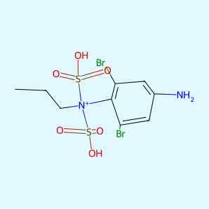 CCC[N+](c1c(Br)cc(N)cc1Br)(S(=O)(=O)O)S(=O)(=O)O